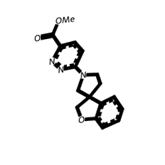 COC(=O)c1ccc(N2CCC3(COc4ccccc43)C2)nn1